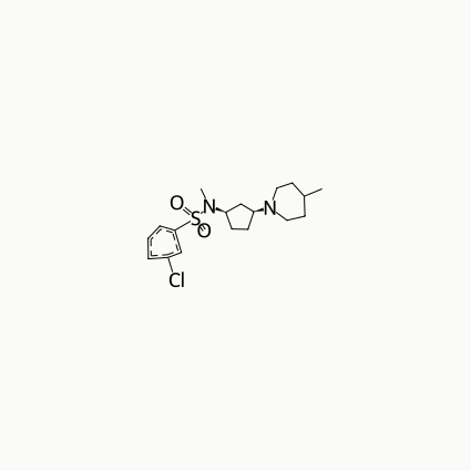 CC1CCN([C@H]2CC[C@@H](N(C)S(=O)(=O)c3cccc(Cl)c3)C2)CC1